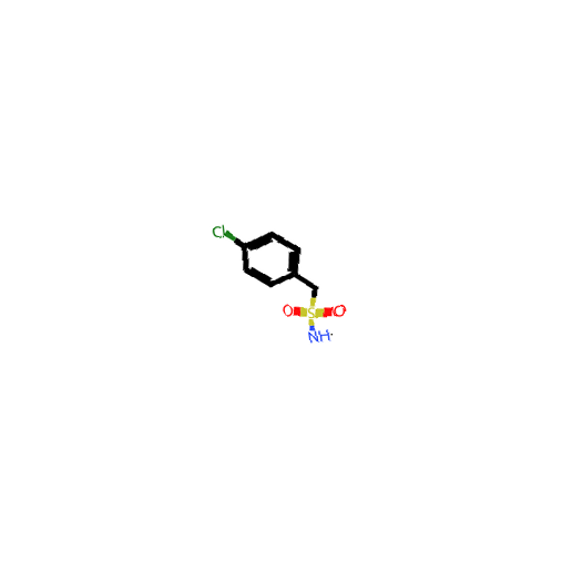 [NH]S(=O)(=O)Cc1ccc(Cl)cc1